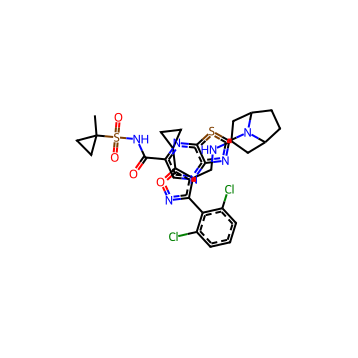 CC1(S(=O)(=O)NC(=O)c2cnc3nc(N4C5CCC4CC(NCc4c(-c6c(Cl)cccc6Cl)noc4C4CC4)C5)sc3n2)CC1